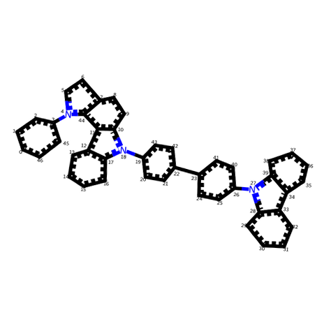 c1ccc(-n2ccc3ccc4c(c5ccccc5n4-c4ccc(-c5ccc(-n6c7ccccc7c7ccccc76)cc5)cc4)c32)cc1